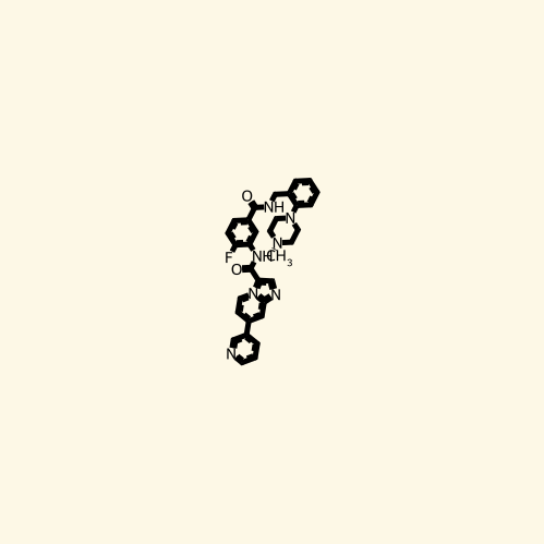 CN1CCN(c2ccccc2CNC(=O)c2ccc(F)c(NC(=O)c3cnc4cc(-c5cccnc5)ccn34)c2)CC1